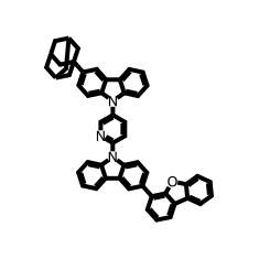 c1ccc2c(c1)oc1c(-c3ccc4c(c3)c3ccccc3n4-c3ccc(-n4c5ccccc5c5cc(C67CC8CC(CC(C8)C6)C7)ccc54)cn3)cccc12